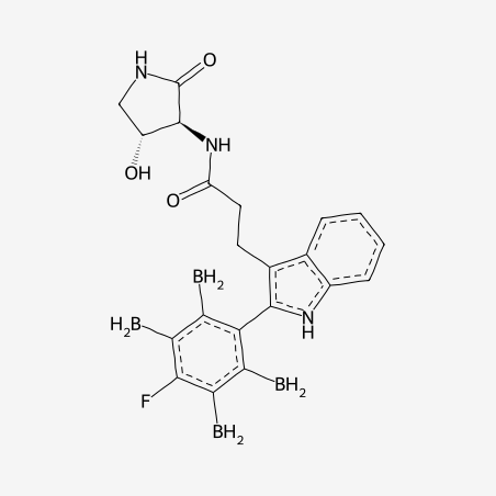 Bc1c(B)c(-c2[nH]c3ccccc3c2CCC(=O)N[C@@H]2C(=O)NC[C@H]2O)c(B)c(B)c1F